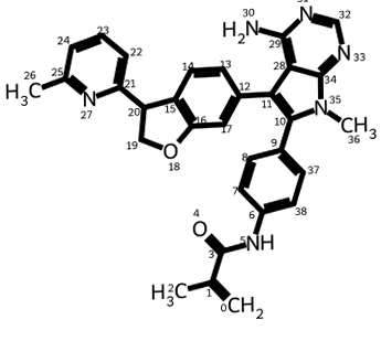 C=C(C)C(=O)Nc1ccc(-c2c(-c3ccc4c(c3)OCC4c3cccc(C)n3)c3c(N)ncnc3n2C)cc1